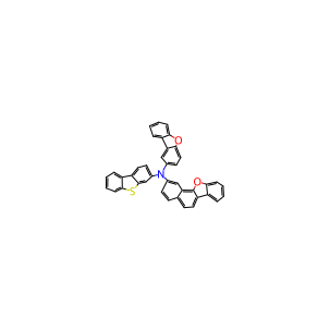 c1ccc2c(c1)oc1ccc(N(c3ccc4c(c3)sc3ccccc34)c3ccc4ccc5c6ccccc6oc5c4c3)cc12